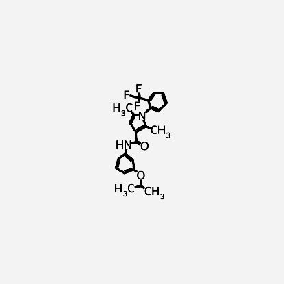 Cc1cc(C(=O)Nc2cccc(OC(C)C)c2)c(C)n1-c1ccccc1C(F)(F)F